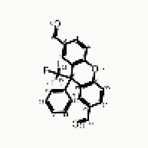 O=[C]c1ccc2c(c1)C(c1ccccc1)(C(F)(F)F)c1cc([C]=O)ccc1O2